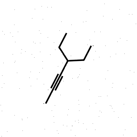 [CH2]C#CC(C[CH2])CC